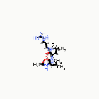 CC(=O)NC(CC(C)C)C(=O)NC(CC(C)C)C(=O)NCCCNC(=N)N